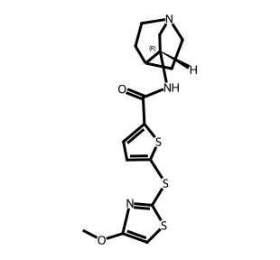 COc1csc(Sc2ccc(C(=O)N[C@H]3CN4CCC3CC4)s2)n1